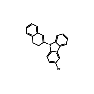 Brc1ccc2c(c1)c1ccccc1n2C1=Cc2ccccc2CC1